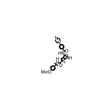 COc1ccc(C(C)(C)NC(=O)c2cc3c(NC(=O)c4ccc(N5CCN(C)CC5)cc4)n[nH]c3s2)cc1